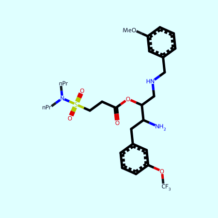 CCCN(CCC)S(=O)(=O)CCC(=O)OC(CNCc1cccc(OC)c1)C(N)Cc1cccc(OC(F)(F)F)c1